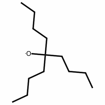 CCCCC([O])(CCCC)CCCC